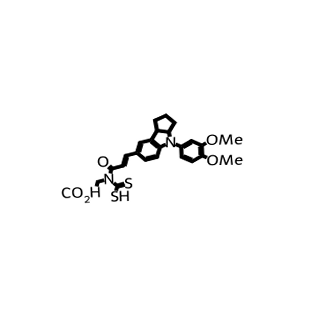 COc1ccc(N2c3ccc(/C=C/C(=O)N(CC(=O)O)C(=S)S)cc3C3CCCC32)cc1OC